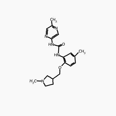 Cc1ccc(OCC2CCN(C)C2)c(NC(=O)Nc2cnc(C)cn2)c1